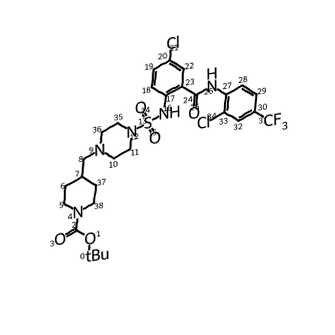 CC(C)(C)OC(=O)N1CCC(CN2CCN(S(=O)(=O)Nc3ccc(Cl)cc3C(=O)Nc3ccc(C(F)(F)F)cc3Cl)CC2)CC1